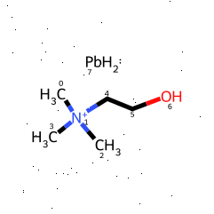 C[N+](C)(C)CCO.[PbH2]